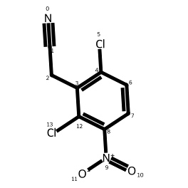 N#CCc1c(Cl)ccc([N+](=O)[O-])c1Cl